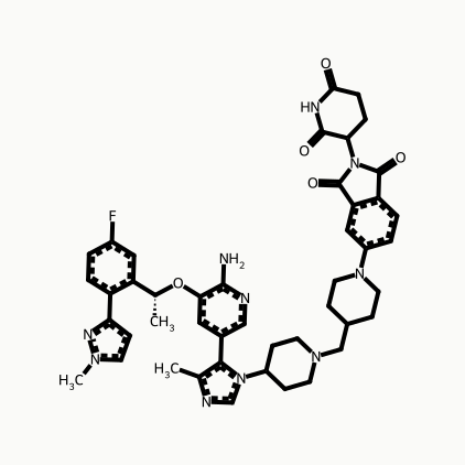 Cc1ncn(C2CCN(CC3CCN(c4ccc5c(c4)C(=O)N(C4CCC(=O)NC4=O)C5=O)CC3)CC2)c1-c1cnc(N)c(O[C@H](C)c2cc(F)ccc2-c2ccn(C)n2)c1